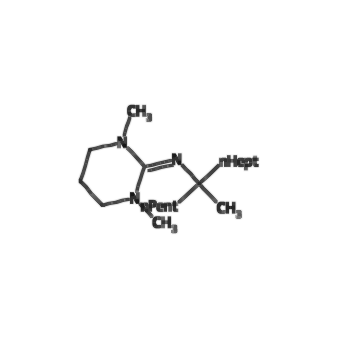 CCCCCCCC(C)(CCCCC)N=C1N(C)CCCN1C